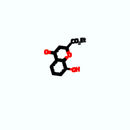 CCOC(=O)c1cc(=O)c2cccc(O)c2o1